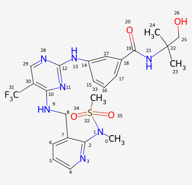 CN(c1ncccc1CNc1nc(Nc2cccc(C(=O)NC(C)(C)CO)c2)ncc1C(F)(F)F)S(C)(=O)=O